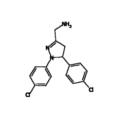 NCC1=NN(c2ccc(Cl)cc2)C(c2ccc(Cl)cc2)C1